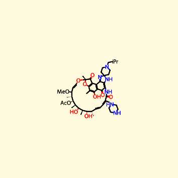 C1CNCCN1.CO[C@H]1/C=C/O[C@@]2(C)Oc3c(C)c(O)c4c(c3C2=O)C2=NC3(CCN(CC(C)C)CC3)NC2=C(NC(=O)/C(C)=C\C=C\[C@H](C)[C@H](O)[C@@H](C)[C@@H](O)[C@@H](C)[C@H](OC(C)=O)[C@@H]1C)C4=O